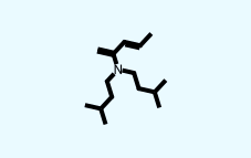 C=C(/C=C/C)N(CCC(C)C)CCC(C)C